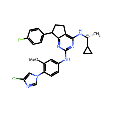 COc1cc(Nc2nc(N[C@H](C)C3CC3)c3c(n2)C(c2ccc(F)cc2)CC3)ccc1-n1cnc(Cl)c1